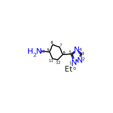 CCn1ncnc1C1CCC(N)CC1